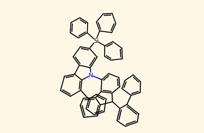 c1ccc(-c2ccccc2C2c3ccccc3-c3c2cccc3-n2c3cc([Si](c4ccccc4)(c4ccccc4)c4ccccc4)ccc3c3cccc(-c4ccccc4)c32)cc1